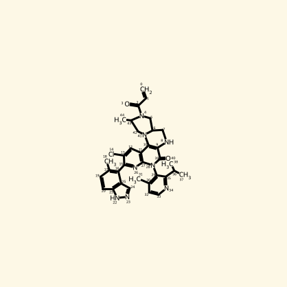 C=CC(=O)N1CC2CNc3c(c4cc(Cl)c(-c5c(C)ccc6[nH]ncc56)nc4n(-c4c(C)ccnc4C(C)C)c3=O)N2CC1C